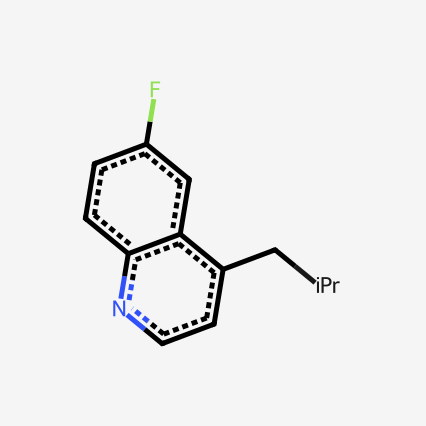 CC(C)Cc1ccnc2ccc(F)cc12